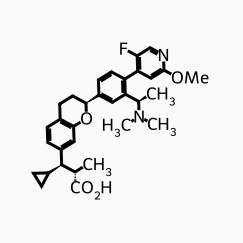 COc1cc(-c2ccc([C@@H]3CCc4ccc([C@H](C5CC5)[C@H](C)C(=O)O)cc4O3)cc2[C@@H](C)N(C)C)c(F)cn1